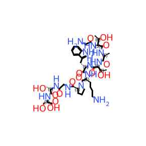 C[C@H](NC(=O)[C@@H](NC(=O)CN)[C@@H](C)O)C(=O)N[C@H](C(=O)N[C@@H](Cc1c[nH]c2ccccc12)C(=O)N[C@@H](CCCCN)C(=O)N1CCC[C@H]1C(=O)NCC(=O)N[C@@H](CO)C(=O)N[C@@H](CO)C(=O)O)[C@@H](C)O